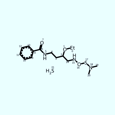 CCOC(CCNC(=O)c1ccccc1)CNOSN(C)C.S